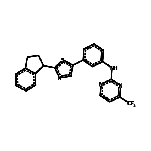 FC(F)(F)c1ccnc(Nc2cccc(-c3cnc(C4CCc5ccccc54)s3)c2)n1